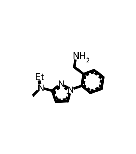 CCN(C)c1ccn(-c2ccccc2CN)n1